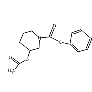 NC(=O)OC1CCCN(C(=O)Cc2ccccc2)C1